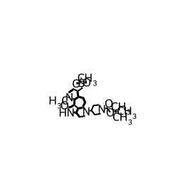 CN1C=CC(CS(C)(=O)=O)=c2ccc3c4c([nH]c(=O)c-4c21)=CCN3C1CCN(C(=O)OC(C)(C)C)CC1